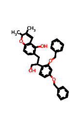 CC1=Cc2c(ccc(CC(CO)c3ccc(OCc4ccccc4)cc3OCc3ccccc3)c2O)OC1C